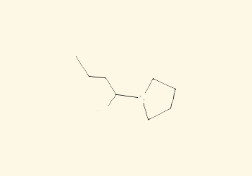 CCCC(O)N1CCCC1